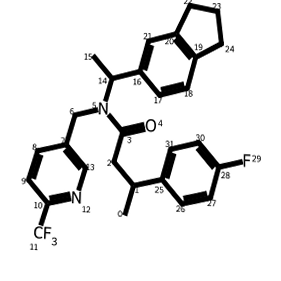 CC(CC(=O)N(Cc1ccc(C(F)(F)F)nc1)C(C)c1ccc2c(c1)CCC2)c1ccc(F)cc1